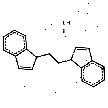 C1=CC(CCC2C=Cc3ccccc32)c2ccccc21.[LiH].[LiH]